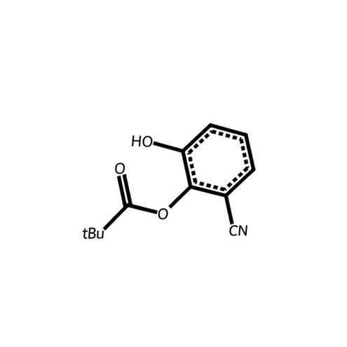 CC(C)(C)C(=O)Oc1c(O)cccc1C#N